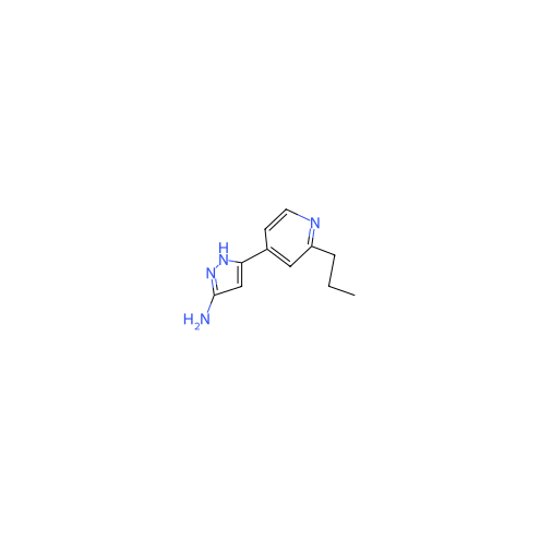 CCCc1cc(-c2cc(N)n[nH]2)ccn1